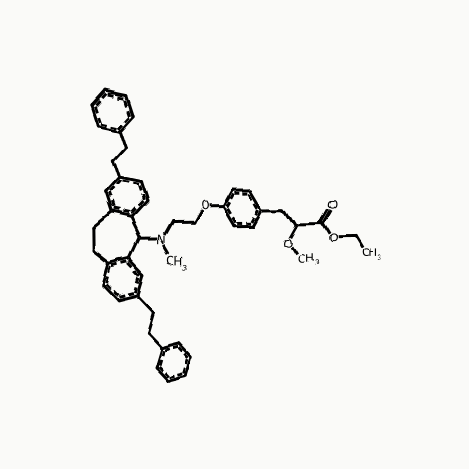 CCOC(=O)C(Cc1ccc(OCCN(C)C2c3ccc(CCc4ccccc4)cc3CCc3ccc(CCc4ccccc4)cc32)cc1)OC